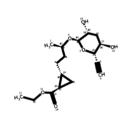 C#C[C@@H]1O[C@@H](O[C@H](C)CC[C@@H]2C[C@H]2C(=O)OCC)[C@H](O)C[C@H]1O